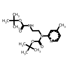 Cc1ccnc(N(CCNC(=O)OC(C)(C)C)C(=O)OC(C)(C)C)c1